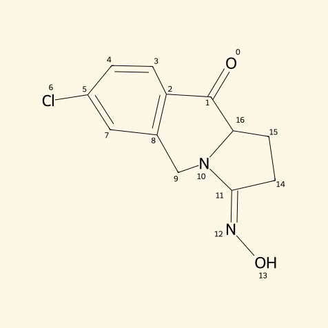 O=C1c2ccc(Cl)cc2CN2/C(=N/O)CCC12